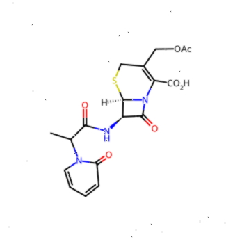 CC(=O)OCC1=C(C(=O)O)N2C(=O)[C@@H](NC(=O)C(C)n3ccccc3=O)[C@H]2SC1